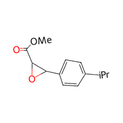 COC(=O)C1OC1c1ccc(C(C)C)cc1